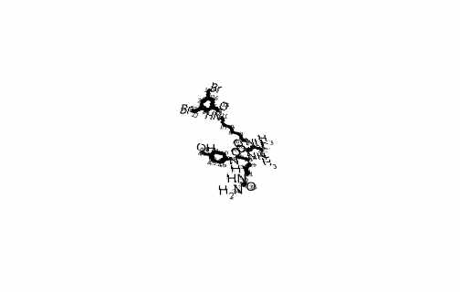 CC(C)C(NC(=O)CCCCCNC(=O)c1cc(CBr)cc(CBr)c1)C(=O)N[C@@H](CCCNC(N)=O)C(=O)Nc1ccc(CO)cc1